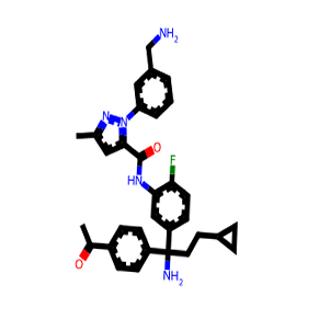 CC(=O)c1ccc(C(N)(CCC2CC2)c2ccc(F)c(NC(=O)c3cc(C)nn3-c3cccc(CN)c3)c2)cc1